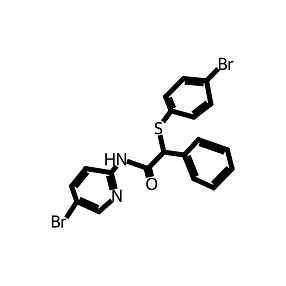 O=C(Nc1ccc(Br)cn1)C(Sc1ccc(Br)cc1)c1ccccc1